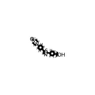 CC(C)(O)c1ccc(-c2ncc(-c3ccc(N4CC[S+]([O-])CC4)cc3)s2)cc1